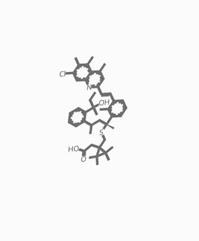 CCC(C)(O)c1ccccc1C(C)C[C@@](C)(SCC1(CC(=O)O)C(C)(C)C1(C)C)c1cccc(/C=C/c2cc(C)c3c(C)c(C)c(Cl)cc3n2)c1C